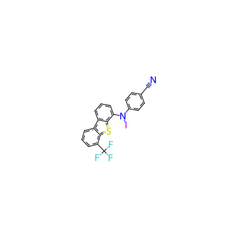 N#Cc1ccc(N(I)c2cccc3c2sc2c(C(F)(F)F)cccc23)cc1